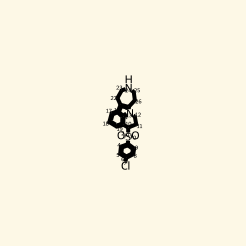 O=S(=O)(c1ccc(Cl)cc1)C1CCn2c3c(c4cccc1c42)CCNCC3